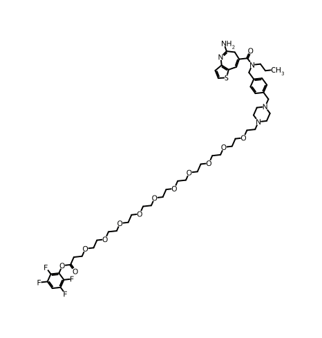 CCCN(Cc1ccc(CN2CCN(CCOCCOCCOCCOCCOCCOCCOCCOCCOCCOCCC(=O)Oc3c(F)c(F)cc(F)c3F)CC2)cc1)C(=O)C1=Cc2sccc2N=C(N)C1